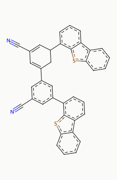 N#CC1=CC(c2cccc3c2sc2ccccc23)CC(c2cc(C#N)cc(-c3cccc4c3sc3ccccc34)c2)=C1